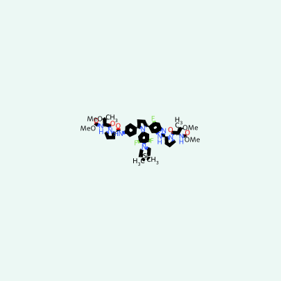 COC(=O)N[C@H](C(=O)N1CCC[C@H]1C(=O)Nc1ccc([C@@H]2CC[C@@H](c3cc4[nH]c([C@@H]5CCCN5C(=O)[C@@H](NC(=O)OC)[C@@H](C)OC)nc4cc3F)N2c2cc(F)c(N3CC[Si](C)(C)CC3)c(F)c2)cc1)[C@@H](C)OC